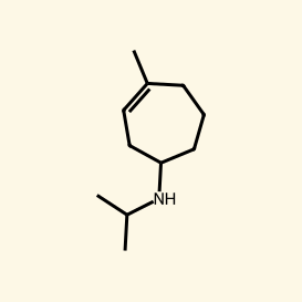 CC1=CCC(NC(C)C)CCC1